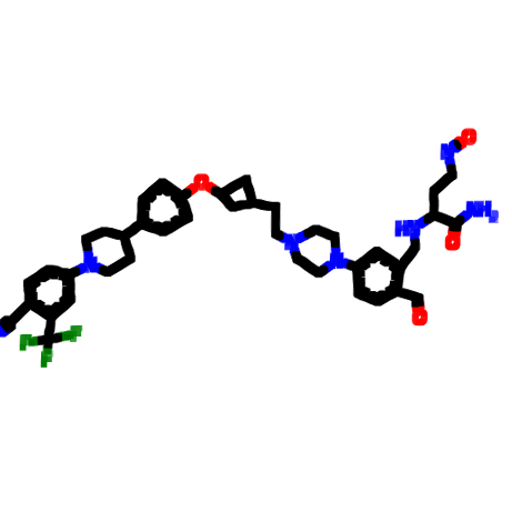 N#Cc1ccc(N2CCC(c3ccc(OC4CC(CCN5CCN(c6ccc(C=O)c(CNC(CCN=O)C(N)=O)c6)CC5)C4)cc3)CC2)cc1C(F)(F)F